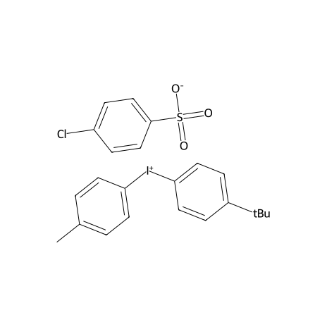 Cc1ccc([I+]c2ccc(C(C)(C)C)cc2)cc1.O=S(=O)([O-])c1ccc(Cl)cc1